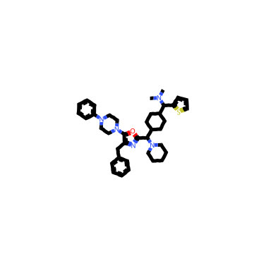 CN(C)C(c1cccs1)C1CCC(C(c2nc(Cc3ccccc3)c(N3CCN(c4ccccc4)CC3)o2)N2CCCCC2)CC1